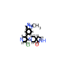 Cn1ncc2cc(-c3cncc(Cl)c3N3CCC4(CCNC4=O)CC3)ccc21